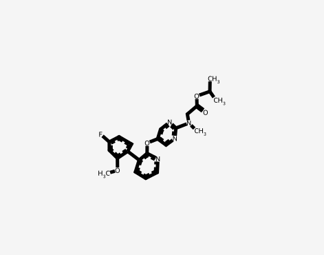 COc1cc(F)ccc1-c1cccnc1Oc1cnc(N(C)CC(=O)OC(C)C)nc1